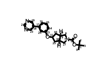 CC(C)(C)OC(=O)N1C[C@H]2CC(Oc3cccc(-c4cncnc4)c3)C[C@H]2C1